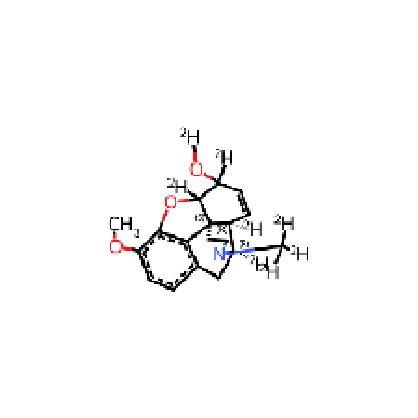 [2H]OC1([2H])C=C[C@@]2([2H])[C@@]3([2H])Cc4ccc(OC)c5c4[C@@]2(CCN3C([2H])([2H])[2H])C1([2H])O5